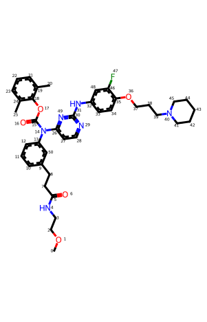 COCCNC(=O)CCc1cccc(N(C(=O)Oc2c(C)cccc2C)c2ccnc(Nc3ccc(OCCCN4CCCCC4)c(F)c3)n2)c1